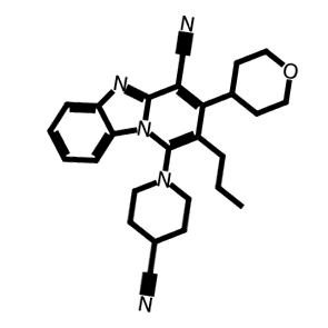 CCCc1c(C2CCOCC2)c(C#N)c2nc3ccccc3n2c1N1CCC(C#N)CC1